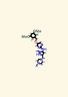 COc1cc(OC)c(F)c(COc2cnc(NC3=CC(CN4CCN(C)CC4)NN3C)nc2)c1F